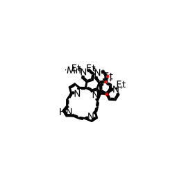 CC[n+]1cccc(-c2c(-c3ccc[n+](CC)c3)c3c(-c4ccc[n+](CC)c4)c4nc(cc5ccc(cc6nc(cc2n3-c2ccc[n+](CC)c2)C=C6)[nH]5)C=C4)c1.[Mn]